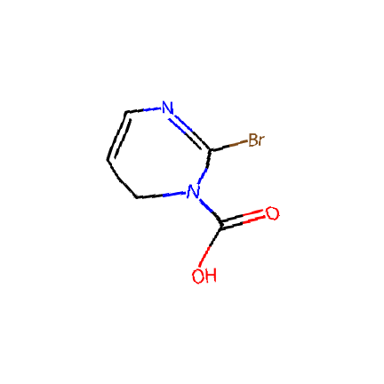 O=C(O)N1CC=CN=C1Br